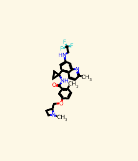 Cc1ccc2c(C3(NC(=O)c4cc(OCC5CCN5C)ccc4C)CC3)cc(NCC(F)(F)F)cc2n1